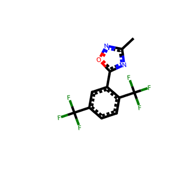 Cc1noc(-c2cc(C(F)(F)F)ccc2C(F)(F)F)n1